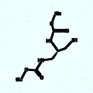 CC(C)(C)OC(=O)NC[C@@H](CS)NC(=O)OC(C)(C)C